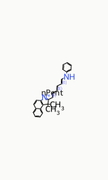 CCCCC[N+]1=C(/C=C/C=C/C=C/Nc2ccccc2)C(C)(C)c2c1ccc1ccccc21